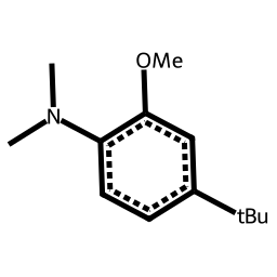 COc1cc(C(C)(C)C)ccc1N(C)C